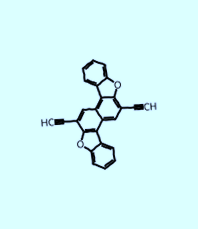 C#Cc1cc2c(cc(C#C)c3oc4ccccc4c32)c2c1oc1ccccc12